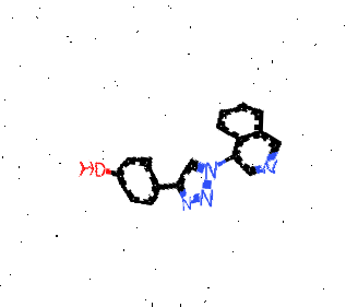 Oc1ccc(-c2cn(-c3cncc4ccccc34)nn2)cc1